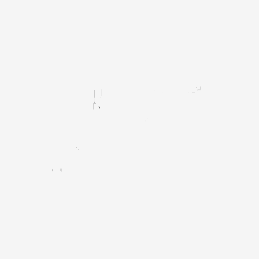 CC(C)(C)OC(=O)C1NCC(=O)O1